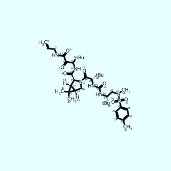 C=CCNC(=O)C(=O)C(CCCC)NC(=O)[C@@H]1[C@@H]2[C@H](CN1C(=O)[C@@H](NC(=O)N[C@H](CN(C)S(=O)(=O)c1ccc(C)cc1)C(C)(C)C)C(C)(C)C)C2(C)C